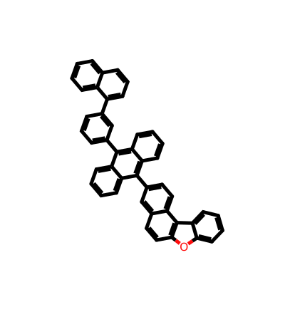 c1cc(-c2cccc3ccccc23)cc(-c2c3ccccc3c(-c3ccc4c(ccc5oc6ccccc6c54)c3)c3ccccc23)c1